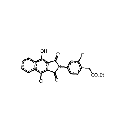 CCOC(=O)Cc1ccc(N2C(=O)c3c(c(O)c4ccccc4c3O)C2=O)cc1F